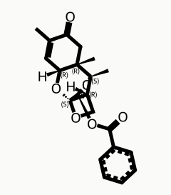 CC1=C[C@H]2O[C@@]34OC[C@H]3[C@](C)(C[C@H]4OC(=O)c3ccccc3)[C@@]2(C)CC1=O